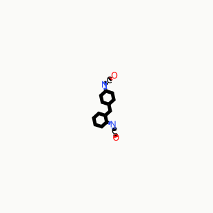 O=C=NC1CCC(CC2CCCCC2N=C=O)CC1